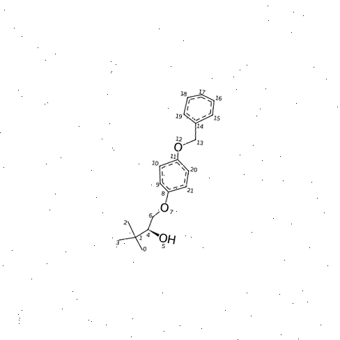 CC(C)(C)[C@H](O)COc1ccc(OCc2ccccc2)cc1